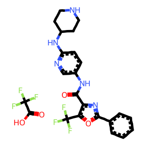 O=C(Nc1ccc(NC2CCNCC2)nc1)c1nc(-c2ccccc2)oc1C(F)(F)F.O=C(O)C(F)(F)F